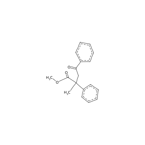 COC(=O)C(C)(CC(=O)c1ccccc1)c1ccccc1